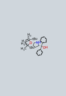 CC(C)(C)[Si](C)(C)O[Si](C)(C)C(C)(C)C.OC(c1ccccc1)(c1ccccc1)[C@@H]1CCCN1